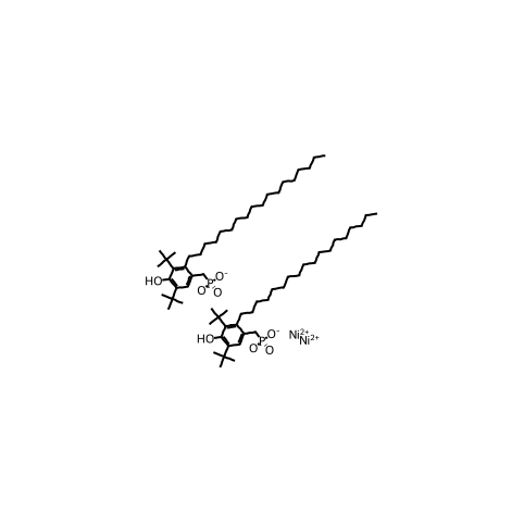 CCCCCCCCCCCCCCCCCCc1c(CP(=O)([O-])[O-])cc(C(C)(C)C)c(O)c1C(C)(C)C.CCCCCCCCCCCCCCCCCCc1c(CP(=O)([O-])[O-])cc(C(C)(C)C)c(O)c1C(C)(C)C.[Ni+2].[Ni+2]